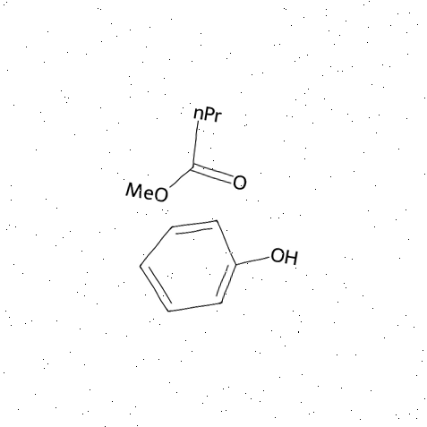 CCCC(=O)OC.Oc1ccccc1